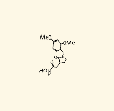 COc1ccc(CN2CCC(CC(=O)NO)C2=O)c(OC)c1